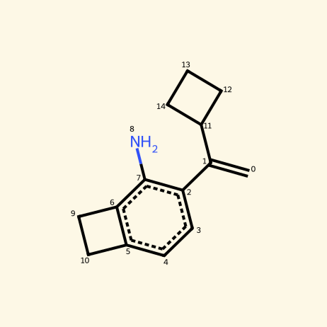 C=C(c1ccc2c(c1N)CC2)C1CCC1